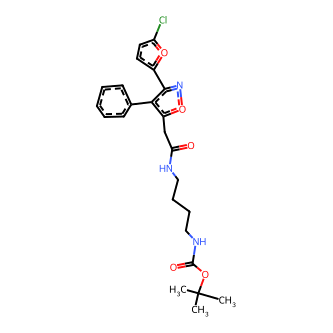 CC(C)(C)OC(=O)NCCCCNC(=O)Cc1onc(-c2ccc(Cl)o2)c1-c1ccccc1